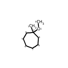 COC1(C)CCCCCC1